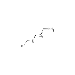 CC(C)COC[C@H](F)CN